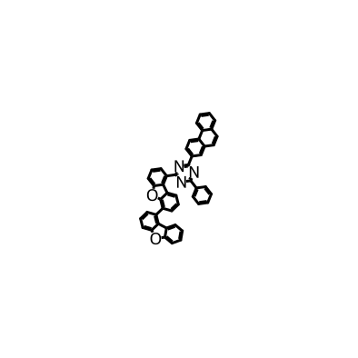 c1ccc(-c2nc(-c3ccc4c(ccc5ccccc54)c3)nc(-c3cccc4oc5c(-c6cccc7oc8ccccc8c67)cccc5c34)n2)cc1